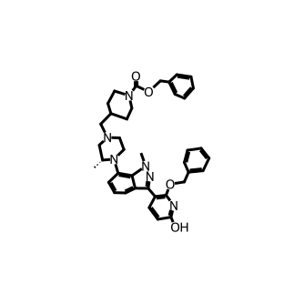 C[C@@H]1CN(CC2CCN(C(=O)OCc3ccccc3)CC2)CCN1c1cccc2c(-c3ccc(O)nc3OCc3ccccc3)nn(C)c12